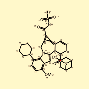 CCN1CC2CC(C1)N2C(=O)[C@@H]1CC=CC2=C3C(=C3C(=O)NS(=O)(=O)C(C)C)Cn3c(cc4c(OC)ccc(C5CCCCC5)c43)C21